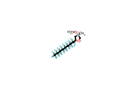 CO[Si](C)(CO)CCC(F)(F)C(F)(F)C(F)(F)C(F)(F)C(F)(F)C(F)(F)C(F)(F)C(F)(F)F